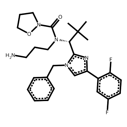 CC(C)(C)[C@H](c1nc(-c2cc(F)ccc2F)cn1Cc1ccccc1)N(CCCN)C(=O)N1CCCO1